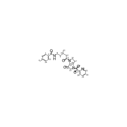 Cc1ccc(C(=O)NCCC(C)CC(=O)N2CCC3C2C(=O)CN3S(=O)(=O)c2ccccn2)cc1